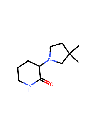 CC1(C)CCN(C2CCCNC2=O)C1